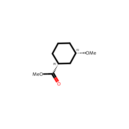 COC(=O)[C@@H]1CCC[C@H](OC)C1